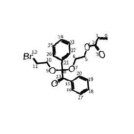 C=CC(=O)OCCOC(OCCBr)(C(=O)c1ccccc1)c1ccccc1